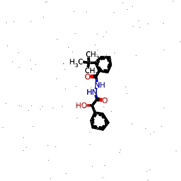 CC(C)(C)c1ccccc1C(=O)NNC(=O)C(O)c1ccccc1